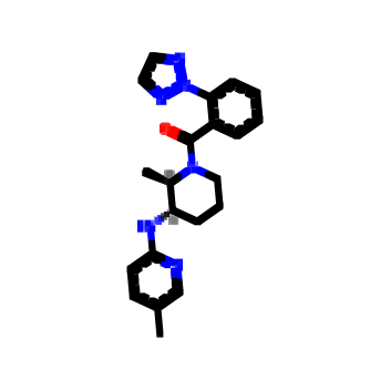 Cc1ccc(N[C@H]2CCCN(C(=O)c3ccccc3-n3nccn3)[C@@H]2C)nc1